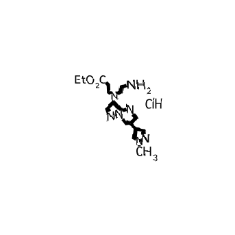 CCOC(=O)CCN(CCN)c1cnn2cc(-c3cnn(C)c3)cnc12.Cl